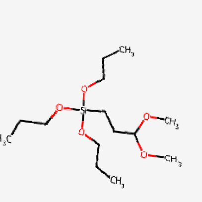 CCCO[Si](CCC(OC)OC)(OCCC)OCCC